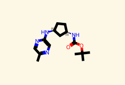 Cc1cnc(N[C@H]2CC[C@H](NC(=O)OC(C)(C)C)C2)cn1